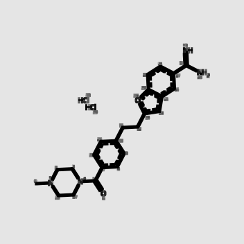 CN1CCN(C(=O)c2ccc(CCc3cc4cc(C(=N)N)ccc4o3)cc2)CC1.Cl.Cl